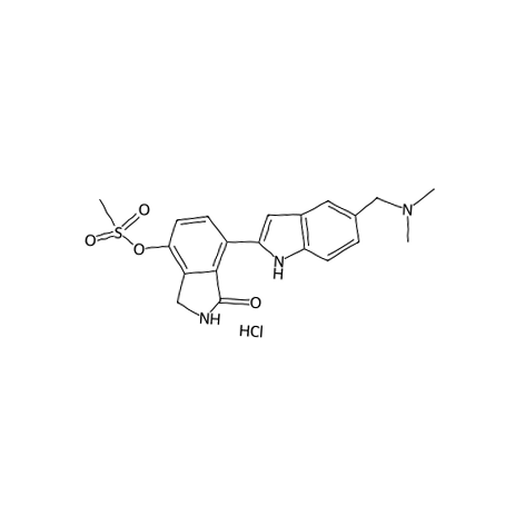 CN(C)Cc1ccc2[nH]c(-c3ccc(OS(C)(=O)=O)c4c3C(=O)NC4)cc2c1.Cl